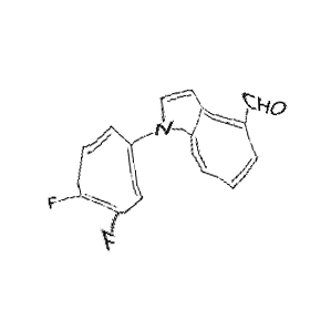 O=Cc1cccc2c1ccn2-c1ccc(F)c(F)c1